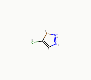 ClC1=CN=[N+]S1